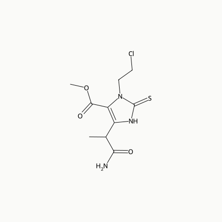 COC(=O)c1c(C(C)C(N)=O)[nH]c(=S)n1CCCl